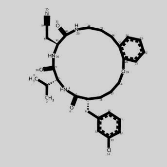 CC(C)[C@H]1NC(=O)[C@@H](Cc2cccc(Cl)c2)CCCOc2ccccc2CCCNC(=O)[C@H](CC#N)NC1=O